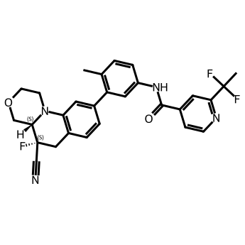 Cc1ccc(NC(=O)c2ccnc(C(C)(F)F)c2)cc1-c1ccc2c(c1)N1CCOC[C@H]1[C@](F)(C#N)C2